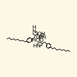 CCCCCCCCCc1ccc(CC2CNCC2(O)O[PH](=O)OC2(O)CNCC2Cc2ccc(CCCCCCCCC)cc2)cc1